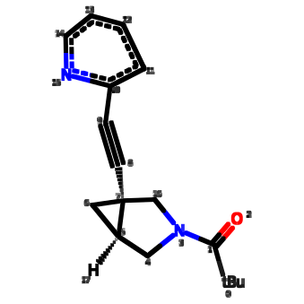 CC(C)(C)C(=O)N1C[C@H]2C[C@@]2(C#Cc2ccccn2)C1